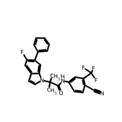 CC(C)(C(=O)Nc1ccc(C#N)c(C(F)(F)F)c1)n1ccc2cc(F)c(-c3ccccc3)cc21